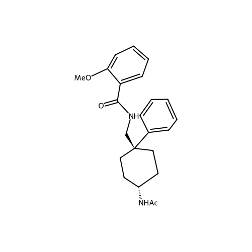 COc1ccccc1C(=O)NC[C@]1(c2ccccc2)CC[C@@H](NC(C)=O)CC1